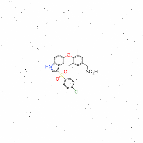 Cc1cc(CS(=O)(=O)O)cc(C)c1Oc1ccc2[nH]cc(S(=O)(=O)c3ccc(Cl)cc3)c2c1